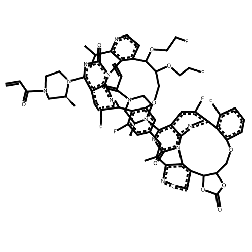 C=CC(=O)N1CCN(c2nc(=O)n3c4nc(c(F)cc24)-c2c(F)cc(CC(C)c4nccc5c4-n4c(=O)nc(N6CCN(C(=O)C=C)C[C@@H]6C)c6cc(F)c(nc64)-c4c(F)cccc4OCC4OC(=O)OC54)cc2OCC(OCCF)C(OCCF)c2ccnc(C(C)C)c2-3)[C@@H](C)C1